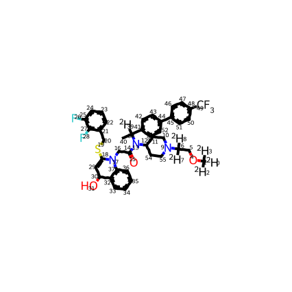 [2H]C([2H])([2H])OCC([2H])([2H])N1CCC(N(C(=O)CN2C(SCc3cccc(F)c3F)=CC(O)c3ccccc32)C([2H])(C)c2ccc(-c3ccc(C(F)(F)F)cc3)cc2)CC1